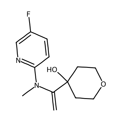 C=C(N(C)c1ccc(F)cn1)C1(O)CCOCC1